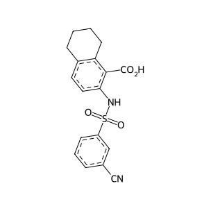 N#Cc1cccc(S(=O)(=O)Nc2ccc3c(c2C(=O)O)CCCC3)c1